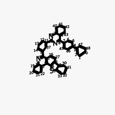 c1ccc(-c2ccc(-c3nc(-c4cccc(-c5nc6ccccc6c6c5ccc5c7ccccc7sc56)c4)nc4ccccc34)cc2)cc1